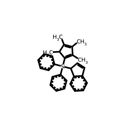 CC1=C(C)C(C)C([Si](c2ccccc2)(c2ccccc2)C2C=Cc3ccccc32)=C1C